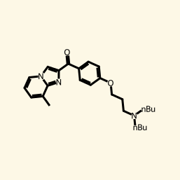 CCCCN(CCCC)CCCOc1ccc(C(=O)c2cn3cccc(C)c3n2)cc1